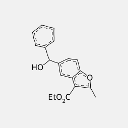 CCOC(=O)c1c(C)oc2ccc(C(O)c3ccccc3)cc12